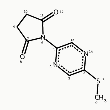 CSc1cnc(N2C(=O)CCC2=O)cn1